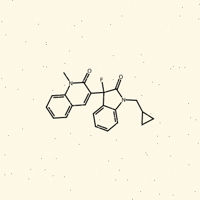 Cn1c(=O)c(C2(F)C(=O)N(CC3CC3)c3ccccc32)cc2ccccc21